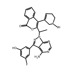 CC(C)N1CCC=C(c2c(C(C)n3nc(-c4cc(O)cc(F)c4)c4c(N)ncnc43)oc(=O)c3ccccc23)C1